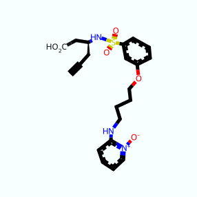 C#CC[C@@H](CC(=O)O)NS(=O)(=O)c1cccc(OCCCCNc2cccc[n+]2[O-])c1